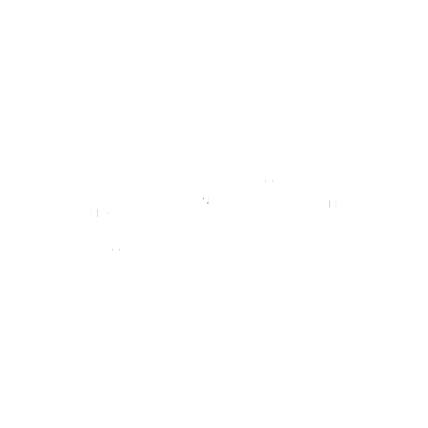 O=C(O)c1ccc(N2CCC(OCCO)CC2)cc1